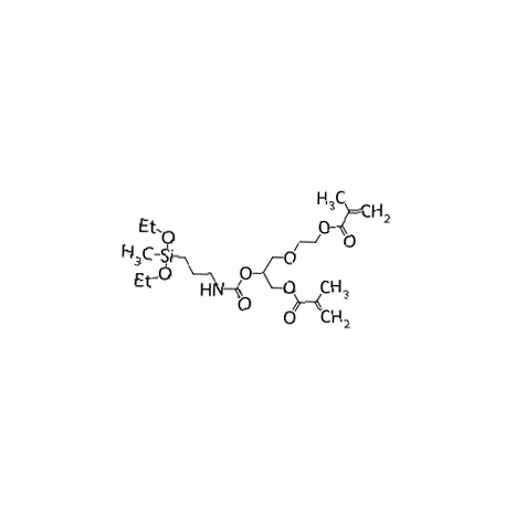 C=C(C)C(=O)OCCOCC(COC(=O)C(=C)C)OC(=O)NCCC[Si](C)(OCC)OCC